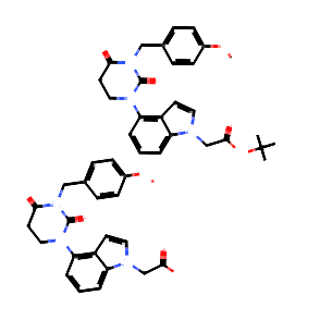 COc1ccc(CN2C(=O)CCN(c3cccc4c3ccn4CC(=O)O)C2=O)cc1.COc1ccc(CN2C(=O)CCN(c3cccc4c3ccn4CC(=O)OC(C)(C)C)C2=O)cc1